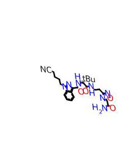 CC(C)(C)[C@H](NC(=O)c1nn(CCCCC#N)c2ccccc12)C(=O)NCCc1noc(C(N)=O)n1